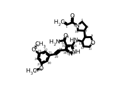 C=CC(=O)N1CCC(C2COCCC2Nc2[nH]nc(C#Cc3cc(OC)cc(OC)c3)c2C(N)=O)C1